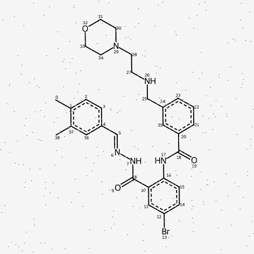 Cc1ccc(C=NNC(=O)c2cc(Br)ccc2NC(=O)c2cccc(CNCCN3CCOCC3)c2)cc1C